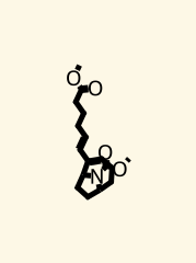 COC(=O)CCCC=CC1=CCCC2CCC1N2C(=O)OC